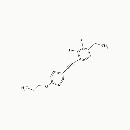 CCCOc1ccc(C#Cc2ccc(CC)c(F)c2F)cc1